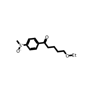 CCOCCCCC(=O)c1ccc([S+](C)[O-])cc1